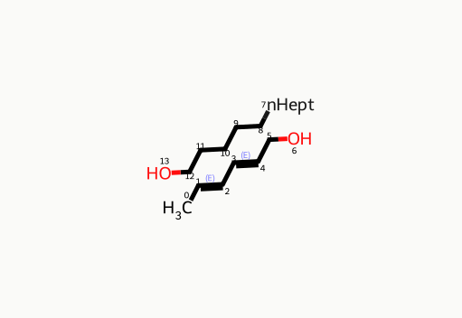 C/C=C/C=C/CO.CCCCCCCCCCCCO